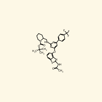 CC(=O)Nc1nc2c(Oc3cc(-c4ccc(C(F)(F)F)cc4)nc(NCC4CCCCN4C(=O)OC(C)(C)C)n3)cccc2s1